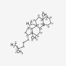 C=C(C)CCCC1CCC2C1(C)CCC1B3CCCCC3(C)CCC12C